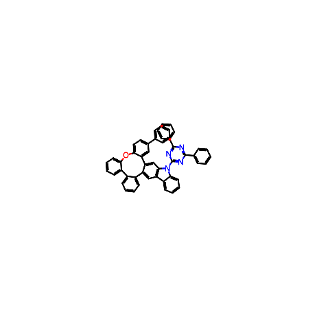 c1ccc(-c2ccc3oc4ccccc4c4ccccc4c4cc5c6ccccc6n(-c6nc(-c7ccccc7)nc(-c7ccccc7)n6)c5cc4c3c2)cc1